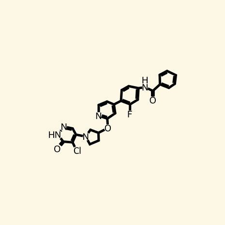 O=C(Nc1ccc(-c2ccnc(OC3CCN(c4cn[nH]c(=O)c4Cl)C3)c2)c(F)c1)c1ccccc1